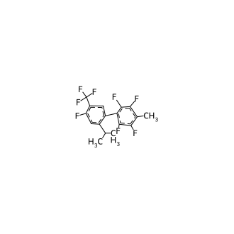 Cc1c(F)c(F)c(-c2cc(C(F)(F)F)c(F)cc2C(C)C)c(F)c1F